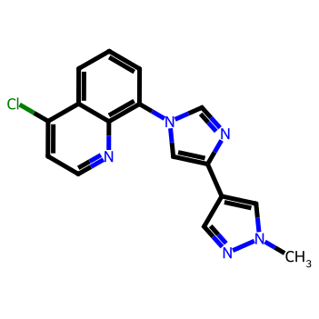 Cn1cc(-c2cn(-c3cccc4c(Cl)ccnc34)cn2)cn1